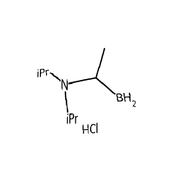 BC(C)N(C(C)C)C(C)C.Cl